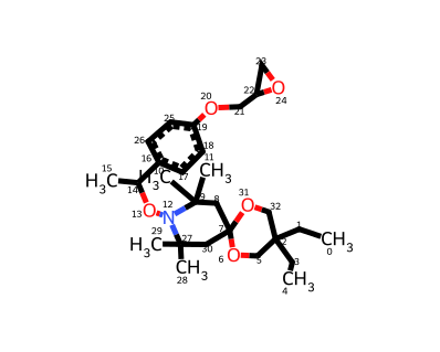 CCC1(CC)COC2(CC(C)(C)N(OC(C)c3ccc(OCC4CO4)cc3)C(C)(C)C2)OC1